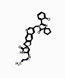 C=C/C=N\C1=C[C@@]2(Cc3cc4cc(CN5C(=O)C6(CCCC6)N=C5c5ccccc5Cl)cnc4cc3C2)C(=O)N1